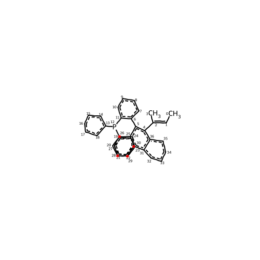 CC=C(C)c1c(-c2ccccc2P(c2ccccc2)c2ccccc2)c2ccccc2c2ccccc12